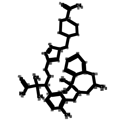 CC(=O)N1CCC(Cn2cc(COC(c3ccc(C)c(CN4CC(C)Oc5ccccc5S4(O)O)c3)C(C)(C)C(=O)O)nn2)CC1